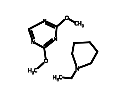 CCN1CCCCC1.COc1ncnc(OC)n1